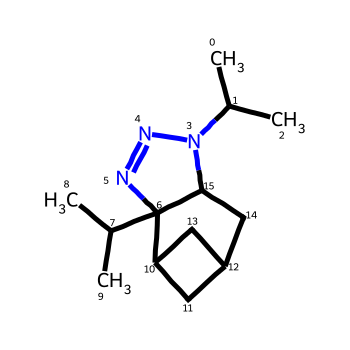 CC(C)N1N=NC2(C(C)C)C3CC(C3)CC12